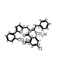 CCOC(=O)c1ccccc1-c1ccc(CN(C(=O)c2ccc(Cl)cc2Cl)[C@@H](Cc2ccccc2)C(=O)O)o1